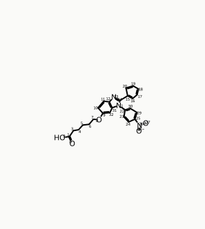 O=C(O)CCCCCOc1ccc2nc(-c3ccccc3)n(-c3ccc([N+](=O)[O-])cc3)c2c1